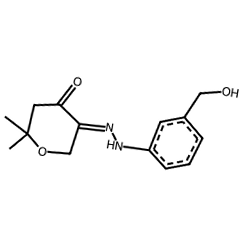 CC1(C)CC(=O)C(=NNc2cccc(CO)c2)CO1